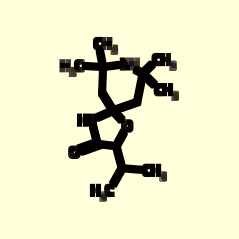 CC(C)C1OC2(CC(C)(C)NC(C)(C)C2)NC1=O